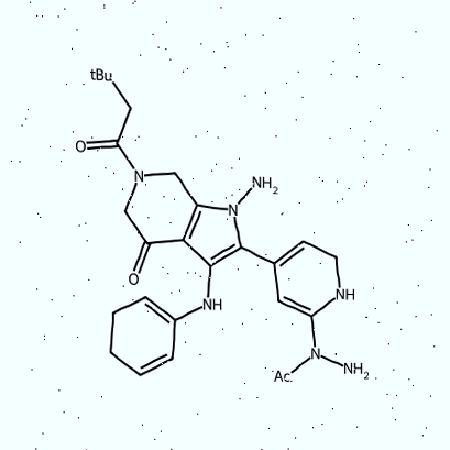 CC(=O)N(N)C1=CC(c2c(NC3=CCCC=C3)c3c(n2N)CN(C(=O)CC(C)(C)C)CC3=O)=CCN1